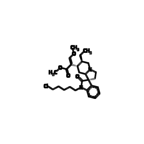 CC[C@H]1CN2CC[C@]3(C(=O)N(CCCCCCl)c4ccccc43)C2C[C@@H]1/C(=C\OC)C(=O)OC